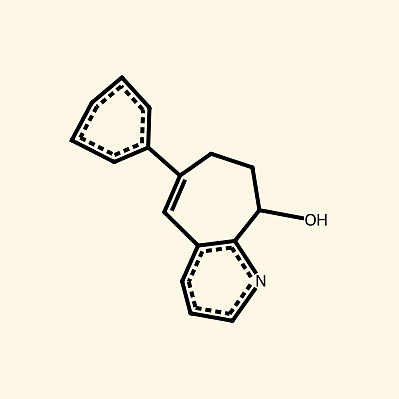 OC1CCC(c2ccccc2)=Cc2cccnc21